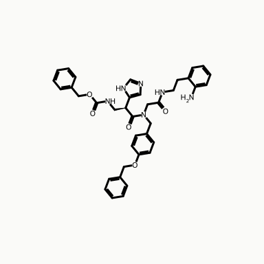 Nc1ccccc1CCNC(=O)CN(Cc1ccc(OCc2ccccc2)cc1)C(=O)[C@@H](CNC(=O)OCc1ccccc1)c1cnc[nH]1